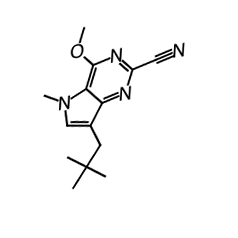 COc1nc(C#N)nc2c(CC(C)(C)C)cn(C)c12